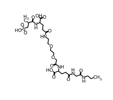 CCCNC(=O)CNC(=O)CCC(NC(=O)COCCOCCNC(=O)CCC(NC(=O)C(C)CS(=O)(=O)O)C(=O)O)C(=O)O